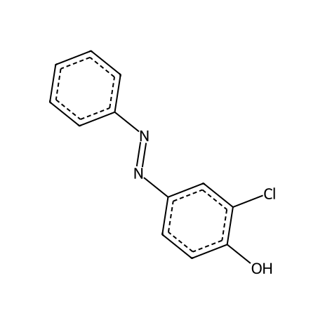 Oc1ccc(/N=N/c2ccccc2)cc1Cl